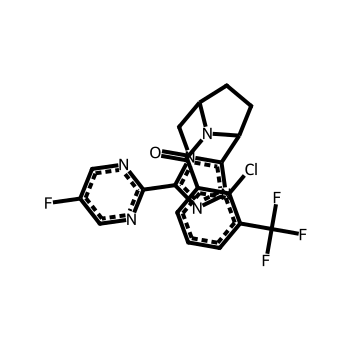 O=C(c1cccc(C(F)(F)F)c1Cl)N1C2CCC1c1nnc(-c3ncc(F)cn3)n1C2